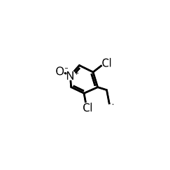 [CH2]Cc1c(Cl)c[n+]([O-])cc1Cl